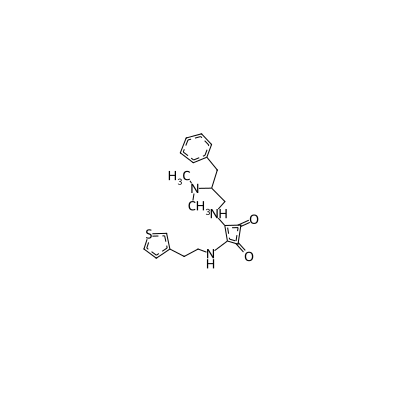 CN(C)C(CNc1c(NCCc2ccsc2)c(=O)c1=O)Cc1ccccc1